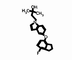 CC(C)(O)CCn1ccc2cc(Oc3ccc(F)c4c3CCC4)ccc21